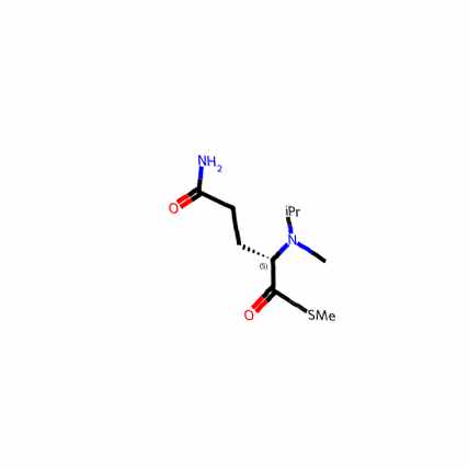 CSC(=O)[C@H](CCC(N)=O)N(C)C(C)C